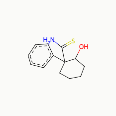 NC(=S)C1(c2ccccc2)CCCCC1O